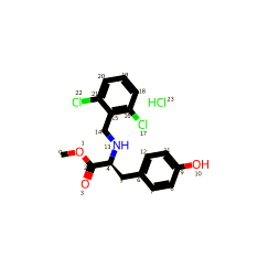 COC(=O)[C@H](Cc1ccc(O)cc1)NCc1c(Cl)cccc1Cl.Cl